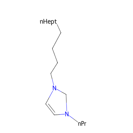 CCCCCCCCCCCN1C=CN(CCC)C1